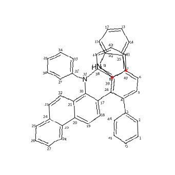 c1ccc(-c2ccc3c([nH]c4ccccc43)c2-c2ccc3c(ccc4ccccc43)c2N(c2ccccc2)c2ccccc2)cc1